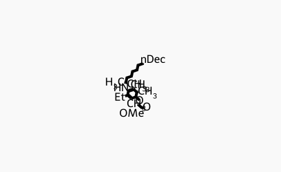 CCCCCCCCCCCCCCCCC(C)(C)NC1=C(C)C(C)C(OCC(=O)OC)C(C)=C1CC